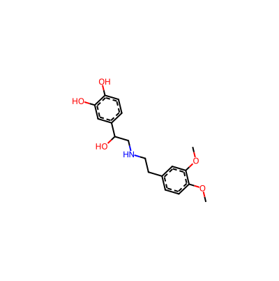 COc1ccc(CCNCC(O)c2ccc(O)c(O)c2)cc1OC